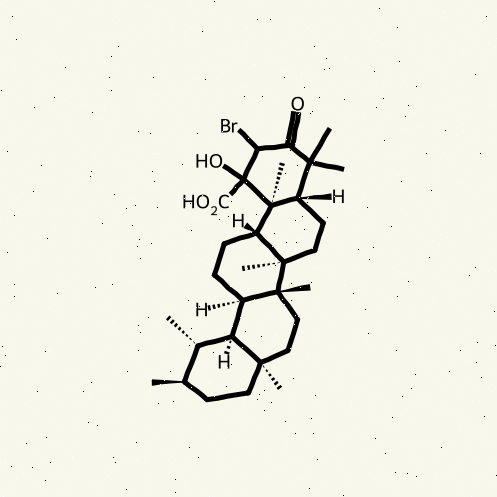 C[C@@H]1[C@H]2[C@H]3CC[C@@H]4[C@]5(C)[C@@H](CC[C@@]4(C)[C@]3(C)CC[C@@]2(C)CC[C@H]1C)C(C)(C)C(=O)C(Br)C5(O)C(=O)O